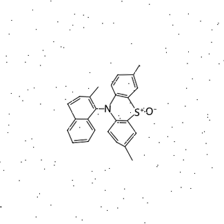 Cc1ccc2c(c1)[S+]([O-])c1cc(C)ccc1N2c1c(C)ccc2ccccc12